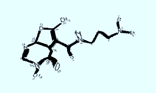 CCN(CC)CCCNC(=O)c1c(C)oc2ncn(C)c(=O)c12